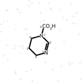 O=C(O)N1C=NCCC1